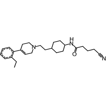 CCc1ccccc1C1=CCN(CCC2CCC(NC(=O)CCCC#N)CC2)CC1